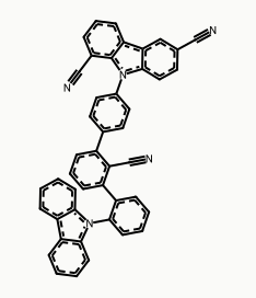 N#Cc1ccc2c(c1)c1cccc(C#N)c1n2-c1ccc(-c2cccc(-c3ccccc3-n3c4ccccc4c4ccccc43)c2C#N)cc1